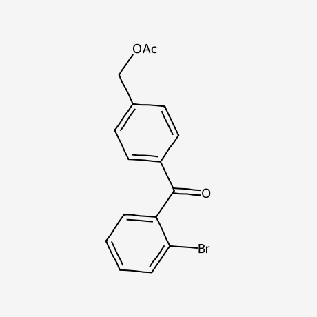 CC(=O)OCc1ccc(C(=O)c2ccccc2Br)cc1